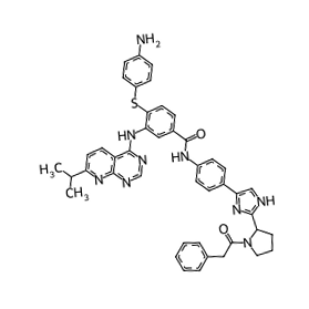 CC(C)c1ccc2c(Nc3cc(C(=O)Nc4ccc(-c5c[nH]c(C6CCCN6C(=O)Cc6ccccc6)n5)cc4)ccc3Sc3ccc(N)cc3)ncnc2n1